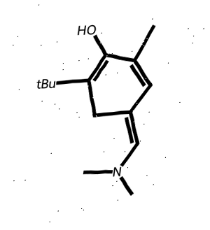 CC1=CC(=CN(C)C)CC(C(C)(C)C)=C1O